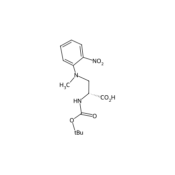 CN(C[C@@H](NC(=O)OC(C)(C)C)C(=O)O)c1ccccc1[N+](=O)[O-]